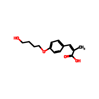 CC(=Cc1ccc(OCCCCO)cc1)C(=O)O